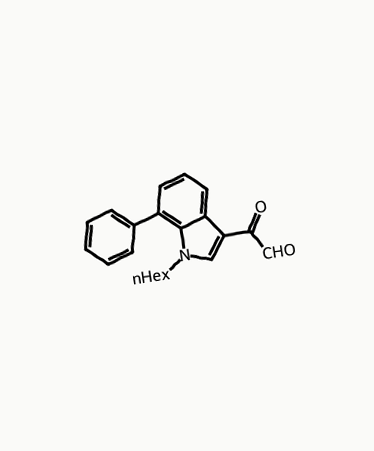 CCCCCCn1cc(C(=O)C=O)c2cccc(-c3ccccc3)c21